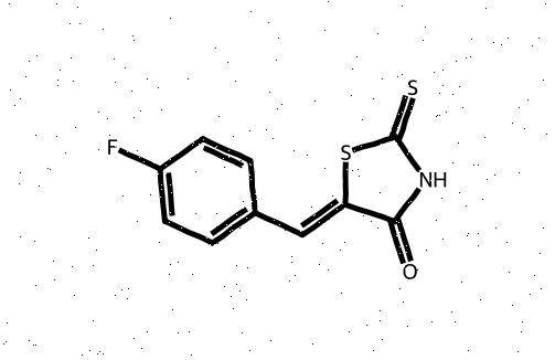 O=C1NC(=S)S/C1=C\c1ccc(F)cc1